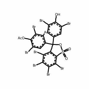 CC(=O)Oc1c(Br)cc(C2(c3cc(Br)c(O)c(Br)c3)OS(=O)(=O)c3c(Br)c(Br)c(Br)c(Br)c32)c(C(C)=O)c1Br